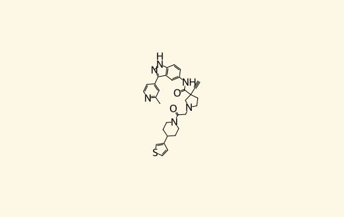 C#CC1(C(=O)Nc2ccc3[nH]nc(-c4ccnc(C)c4)c3c2)CCN(CC(=O)N2CCC(c3ccsc3)CC2)C1